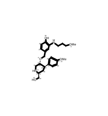 COCCCNc1cc(CO[C@H]2CN[C@H](CO)C[C@@H]2c2ccc(OC)cc2)ccc1O